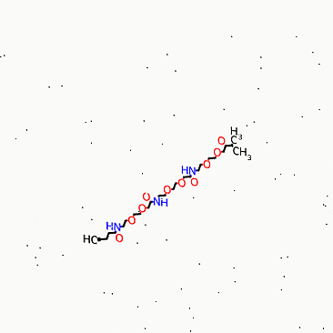 C#CCCC(=O)NCCOCCOCC(=O)NCCOCCOCC(=O)NCCOCCOCC(=O)C(C)C